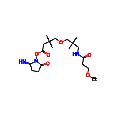 CCOCCC(=O)NCC(C)(C)COCC(C)(C)CC(=O)ON1C(=N)CCC1=O